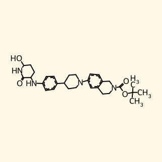 CC(C)(C)OC(=O)N1CCc2cc(N3CCC(c4ccc(NC5CCC(O)NC5=O)cc4)CC3)ccc2C1